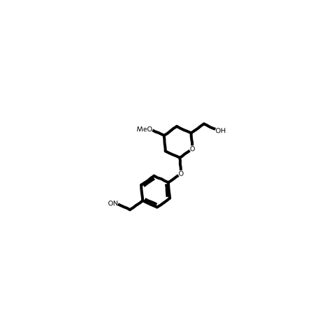 COC1CC(CO)OC(Oc2ccc(CN=O)cc2)C1